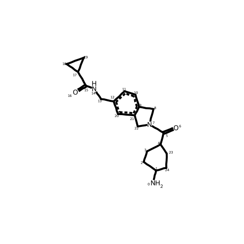 NC1CCC(C(=O)N2Cc3ccc(CNC(=O)C4CC4)cc3C2)CC1